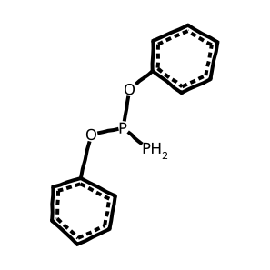 PP(Oc1ccccc1)Oc1ccccc1